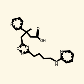 CC(CC(=O)O)(Cc1nc(CCCCNc2ccccn2)no1)c1cccnc1